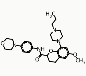 CCCN1CCN(c2cc(OC)cc3c2OC(C(=O)Nc2ccc(N4CCOCC4)cc2)CC3)CC1